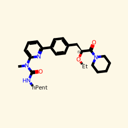 CCCCCNC(=O)N(C)c1cccc(-c2ccc(C[C@H](OCC)C(=O)N3CCCCC3)cc2)n1